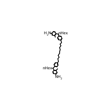 CCCCCCC(c1ccc(CCCCCCCCCCCc2ccc(C(CCCCCC)c3ccc(N)cc3C)cc2)cc1)c1ccc(N)cc1C